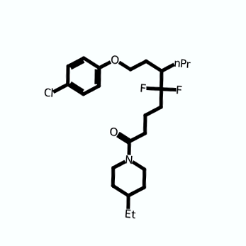 CCCC(CCOc1ccc(Cl)cc1)C(F)(F)CCCC(=O)N1CCC(CC)CC1